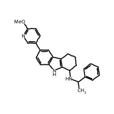 COc1ccc(-c2ccc3[nH]c4c(c3c2)CCCC4NC(C)c2ccccc2)cn1